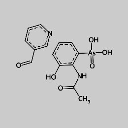 CC(=O)Nc1c(O)cccc1[As](=O)(O)O.O=Cc1cccnc1